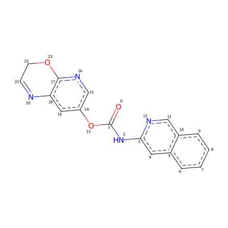 O=C(Nc1cc2ccccc2cn1)Oc1cnc2c(c1)N=CCO2